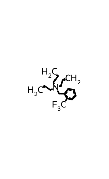 C=CC[N+](CC=C)(CC=C)Cc1ccccc1C(F)(F)F